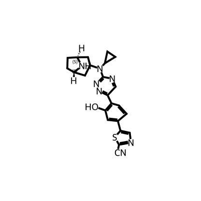 N#Cc1ncc(-c2ccc(-c3cnc(N(C4CC4)C4C[C@@H]5CC[C@@H](C4)N5)nn3)c(O)c2)s1